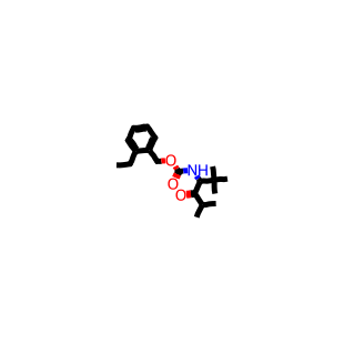 CCc1ccccc1COC(=O)NC(C(=O)C(C)C)C(C)(C)C